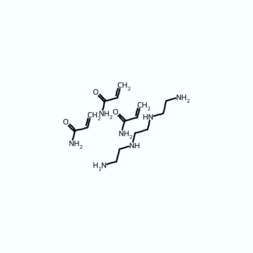 C=CC(N)=O.C=CC(N)=O.C=CC(N)=O.NCCNCCNCCN